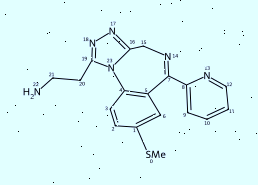 CSc1ccc2c(c1)C(c1ccccn1)=NCc1nnc(CCN)n1-2